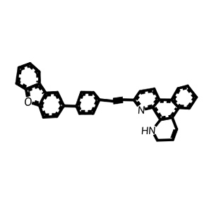 C(#Cc1ccc2c(n1)c1c(c3ccccc32)C=CCN1)c1ccc(-c2ccc3oc4ccccc4c3c2)cc1